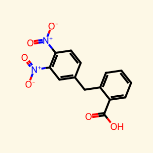 O=C(O)c1ccccc1Cc1ccc([N+](=O)[O-])c([N+](=O)[O-])c1